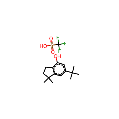 CC(C)(C)c1cc(O)c2c(c1)C(C)(C)CC2.O=S(=O)(O)C(F)(F)F